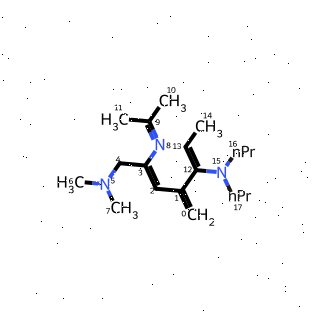 C=C(/C=C(/CN(C)C)N=C(C)C)/C(=C/C)N(CCC)CCC